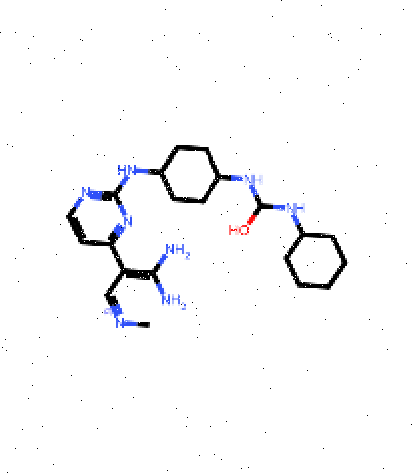 C/N=C\C(=C(N)N)c1ccnc(NC2CCC(NC(O)NC3CCCCC3)CC2)n1